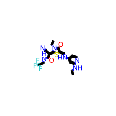 CCNc1cc(NC=c2sc(=C(C#N)C(=O)NCC(F)(F)F)n(CC)c2=O)ccn1